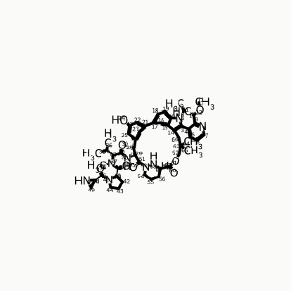 CCn1c(-c2cccnc2[C@H](C)OC)c2c3cc(ccc31)-c1cc(O)cc(c1)C[C@H](NC(=O)[C@H](C(C)C)N(C)C(=O)[C@H]1CCCN1C(=O)[C@H]1CN1)C(=O)N1CCC[C@H](N1)C(=O)OCC(C)(C)C2